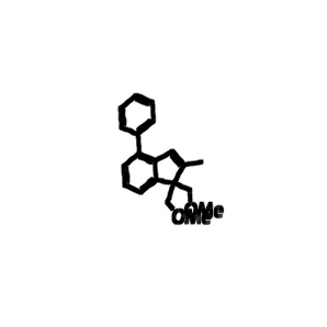 COCC1(COC)C(C)=Cc2c(-c3ccccc3)cccc21